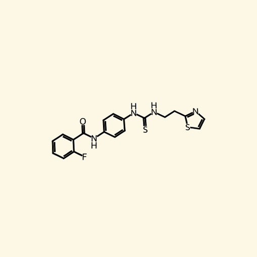 O=C(Nc1ccc(NC(=S)NCCc2nccs2)cc1)c1ccccc1F